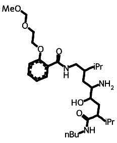 CCCCNC(=O)C(CC(O)C(N)CC(CNC(=O)c1ccccc1OCCOCOC)C(C)C)C(C)C